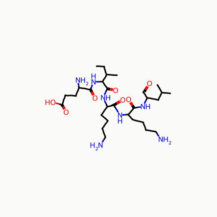 CCC(C)C(NC(=O)C(N)CCC(=O)O)C(=O)NC(CCCCN)C(=O)NC(CCCCN)C(=O)NC(C=O)CC(C)C